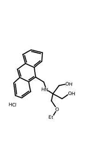 CCOCC(CO)(CO)NCc1c2ccccc2cc2ccccc12.Cl